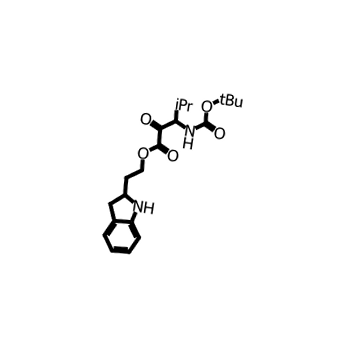 CC(C)C(NC(=O)OC(C)(C)C)C(=O)C(=O)OCCC1Cc2ccccc2N1